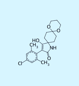 Cc1cc(Cl)cc(C)c1C1=C(O)C2(CCC3(CC2)OCCCO3)NC1=O